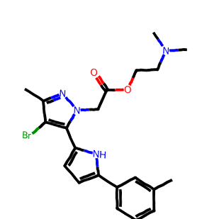 Cc1cccc(-c2ccc(-c3c(Br)c(C)nn3CC(=O)OCCN(C)C)[nH]2)c1